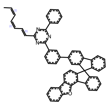 C\C=C/C=C\C=C\c1nc(-c2ccccc2)nc(-c2cccc(-c3ccc4c(c3)C3(c5ccccc5-4)c4ccccc4-c4c3ccc3c4oc4ccccc43)c2)n1